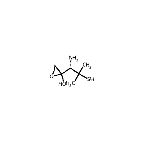 CC(C)(S)[C@@H](N)C1(O)CO1